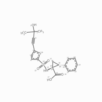 CC(C)(O)C#Cc1ccc(S(=O)(=O)N[C@@]2(C(=O)O)C[C@@H]2c2ccccc2)s1